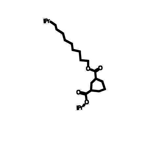 CC(C)CCCCCCCCCOC(=O)C1CCCC(C(=O)OC(C)C)C1